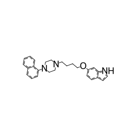 c1ccc2c(N3CCN(CCCCOc4ccc5cc[nH]c5c4)CC3)cccc2c1